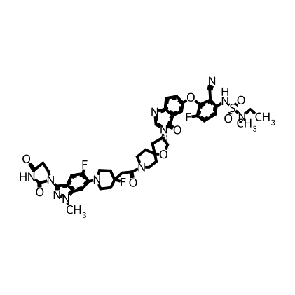 CCN(C)S(=O)(=O)Nc1ccc(F)c(Oc2ccc3ncn([C@H]4COC5(CCN(C(=O)CC6(F)CCN(c7cc8c(cc7F)c(N7CCC(=O)NC7=O)nn8C)CC6)CC5)C4)c(=O)c3c2)c1C#N